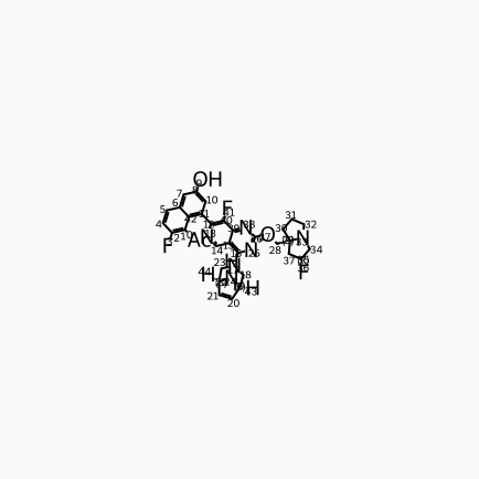 CC(=O)c1c(F)ccc2cc(O)cc(-c3ncc4c(N5C[C@H]6C=C[C@@H](C5)N6)nc(OC[C@@]56CCCN5C[C@H](F)C6)nc4c3F)c12